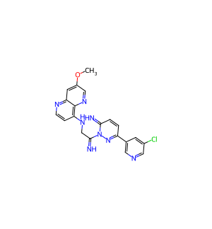 COc1cnc2c(NCC(=N)n3nc(-c4cncc(Cl)c4)ccc3=N)ccnc2c1